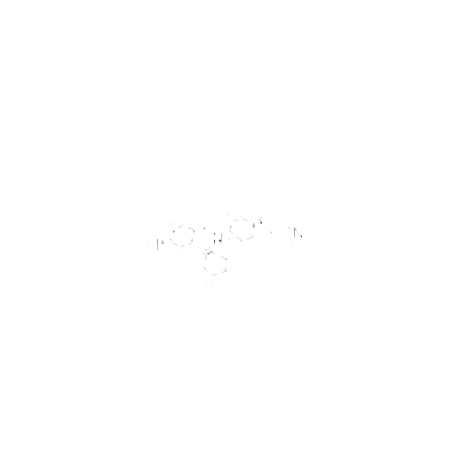 CN(C)CCOc1ccc(N(Cc2ccc(Cl)cc2)c2ccccc2)cc1